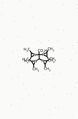 CC1C(C)N1C(N1C(C)C1C)C(C(=O)O)(N1C(C)C1C)N1C(C)C1C